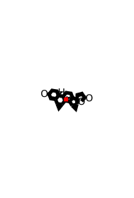 CC[C@]12CCC3C(C4CC4C4=CC(=O)CC[C@@H]43)C1C1CC1[C@@]21C=CC(=O)O1